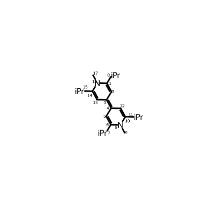 CC(C)C1=CC(=C2C=C(C(C)C)N(C)C(C(C)C)=C2)C=C(C(C)C)N1C